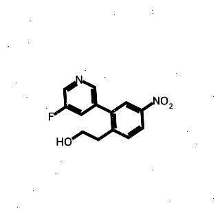 O=[N+]([O-])c1ccc(CCO)c(-c2cncc(F)c2)c1